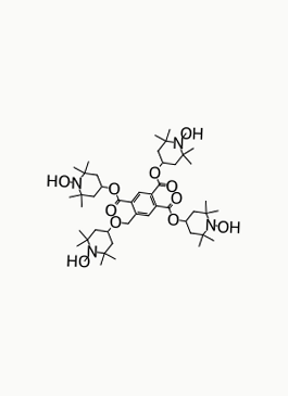 CC1(C)CC(OCc2cc(C(=O)OC3CC(C)(C)N(O)C(C)(C)C3)c(C(=O)OC3CC(C)(C)N(O)C(C)(C)C3)cc2C(=O)OC2CC(C)(C)N(O)C(C)(C)C2)CC(C)(C)N1O